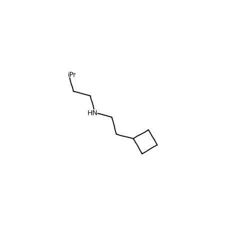 CC(C)CCNCCC1CCC1